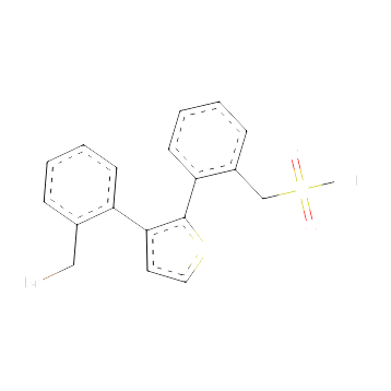 CS(=O)(=O)Cc1ccccc1-c1sccc1-c1ccccc1CBr